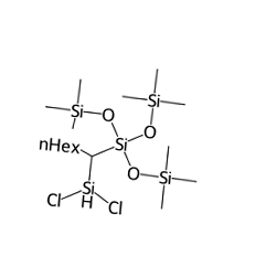 CCCCCCC([SiH](Cl)Cl)[Si](O[Si](C)(C)C)(O[Si](C)(C)C)O[Si](C)(C)C